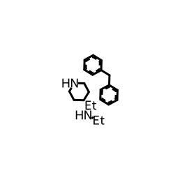 C1CCNCC1.CCNCC.c1ccc(Cc2ccccc2)cc1